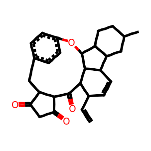 C=CC1C=CC2C3CC(C)CCC3C3Oc4ccc(cc4)CC4C(=O)CC(=O)C4C(=O)C1C23